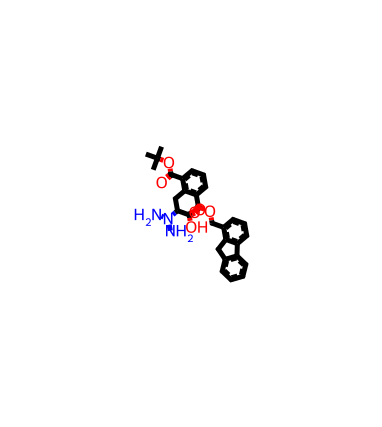 CC(C)(C)OC(=O)c1cccc(C(=O)OCc2cccc3c2Cc2ccccc2-3)c1CC(C(=O)O)N(N)N